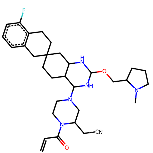 C=CC(=O)N1CCN(C2NC(OCC3CCCN3C)NC3CC4(CCc5c(F)cccc5C4)CCC32)CC1CC#N